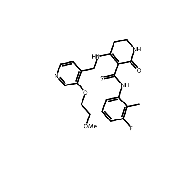 COCCOc1cnccc1CNC1=C(C(=S)Nc2cccc(F)c2C)C(=O)NCC1